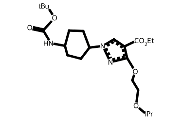 CCOC(=O)c1cn(C2CCC(NC(=O)OC(C)(C)C)CC2)nc1OCCOC(C)C